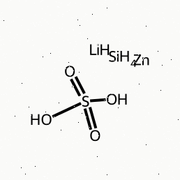 O=S(=O)(O)O.[LiH].[SiH4].[Zn]